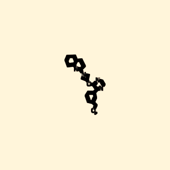 COCc1cccc(-c2nccnc2OC2CN(c3ccc4ccccc4n3)C2)c1